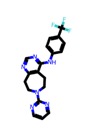 FC(F)(F)c1ccc(Nc2ncnc3c2CCN(c2ncccn2)CC3)cc1